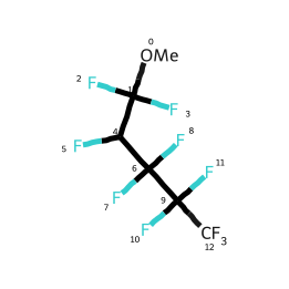 COC(F)(F)C(F)C(F)(F)C(F)(F)C(F)(F)F